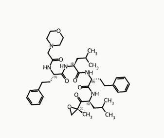 CC(C)C[C@H](NC(=O)[C@H](CCc1ccccc1)NC(=O)CN1CCOCC1)C(=O)N[C@H](CCc1ccccc1)C(=O)N[C@@H](CC(C)C)C(=O)[C@]1(C)CO1